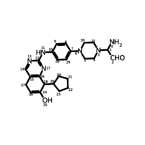 NC(C=O)N1CCN(c2ccc(Nc3ncc4c(n3)C(C3CCCC3)C(O)=CC4)cc2)CC1